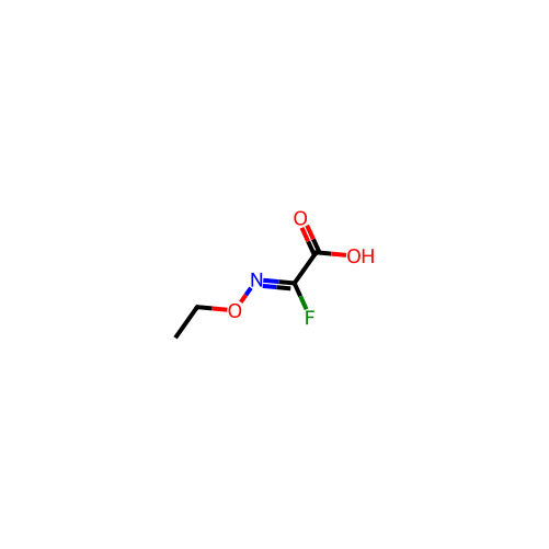 CCON=C(F)C(=O)O